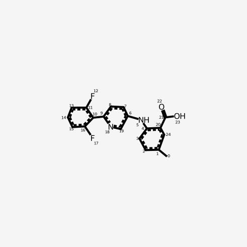 Cc1ccc(Nc2ccc(-c3c(F)cccc3F)nc2)c(C(=O)O)c1